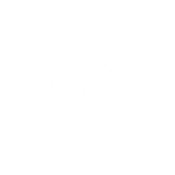 O=C(OCCS(=O)(=O)O)c1cccc(I)c1